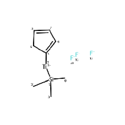 C[Si](C)(C)[Ti+3][C]1=CC=CC1.[F-].[F-].[F-]